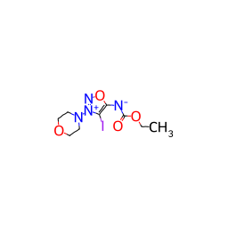 CCOC(=O)[N-]c1on[n+](N2CCOCC2)c1I